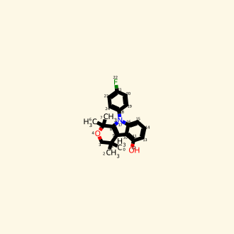 CC1(C)COC(C)(C)c2c1c1c(O)cccc1n2-c1ccc(F)cc1